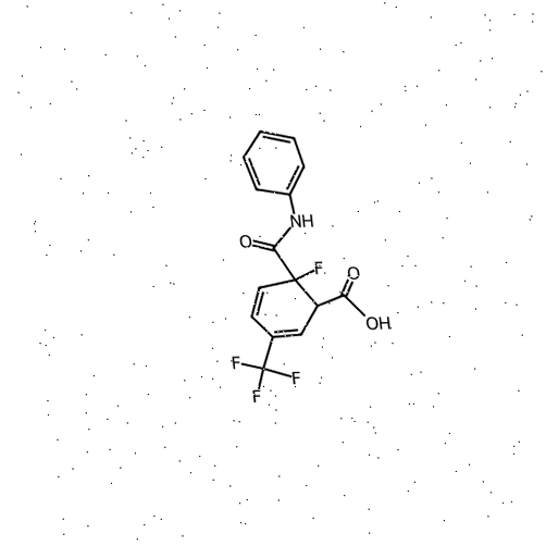 O=C(O)C1C=C(C(F)(F)F)C=CC1(F)C(=O)Nc1ccccc1